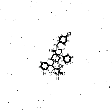 Cn1[nH]c(=O)c(Br)c1C(c1ccccc1)N1CCC2(CC1)C(=O)N(Cc1ccc(Cl)cc1)CN2c1ccccc1